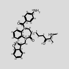 CN[C@@H](C)C(=O)CCC[C@H]1CN(C(=O)c2ccc(N)cc2)c2ccccc2N(Cc2noc3ccccc23)C1=O